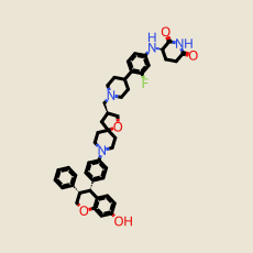 O=C1CC[C@@H](Nc2ccc(C3CCN(C[C@H]4COC5(CCN(c6ccc([C@@H]7c8ccc(O)cc8OC[C@@H]7c7ccccc7)cc6)CC5)C4)CC3)c(F)c2)C(=O)N1